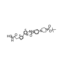 CC(C)(C)OC(=O)N1CCN(c2ccc(C(=O)Nc3nc(-c4ccc(CC(=O)NO)s4)cs3)cc2)CC1